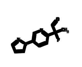 CC(F)(C=O)c1ccc(-n2cccn2)cn1